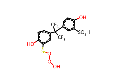 O=S(=O)(O)c1cc(C(c2ccc(O)c(SOOO)c2)(C(F)(F)F)C(F)(F)F)ccc1O